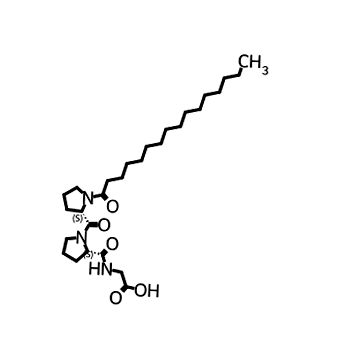 CCCCCCCCCCCCCCCC(=O)N1CCC[C@H]1C(=O)N1CCC[C@H]1C(=O)NCC(=O)O